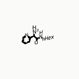 CCCCCCNC(=O)C(N)c1ccccn1